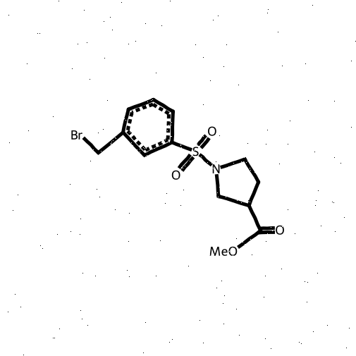 COC(=O)C1CCN(S(=O)(=O)c2cccc(CBr)c2)C1